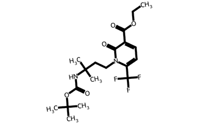 CCOC(=O)c1ccc(C(F)(F)F)n(CCC(C)(C)NC(=O)OC(C)(C)C)c1=O